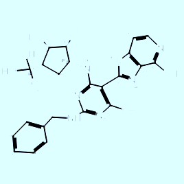 Cc1nc(NCc2ccccc2)nc(N[C@@H]2C[C@H](C(C)(C)O)[C@@H](O)[C@H]2O)c1-c1nc2c(C)nccc2s1